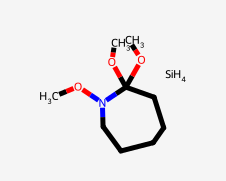 CON1CCCCCC1(OC)OC.[SiH4]